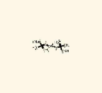 CCCCCCCCCC(C)(C)SSSSC(C)(C)CCCCCCCCC